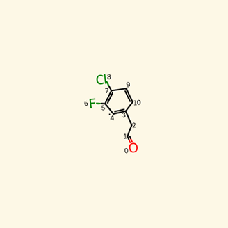 O=CCc1[c]c(F)c(Cl)cc1